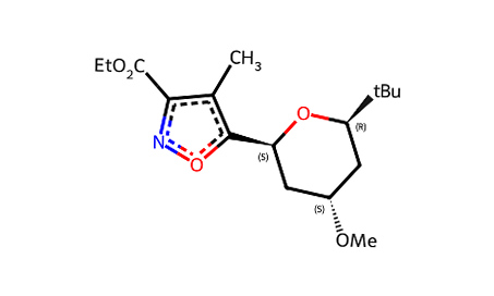 CCOC(=O)c1noc([C@@H]2C[C@@H](OC)C[C@H](C(C)(C)C)O2)c1C